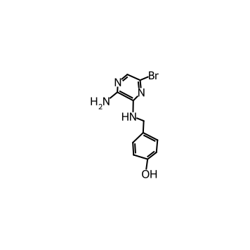 Nc1ncc(Br)nc1NCc1ccc(O)cc1